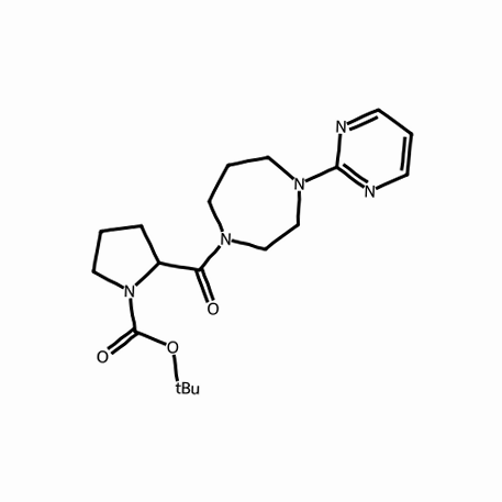 CC(C)(C)OC(=O)N1CCCC1C(=O)N1CCCN(c2ncccn2)CC1